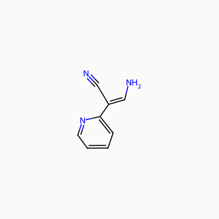 N#CC(=CN)c1ccccn1